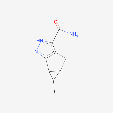 CC1C2Cc3c(n[nH]c3C(N)=O)C12